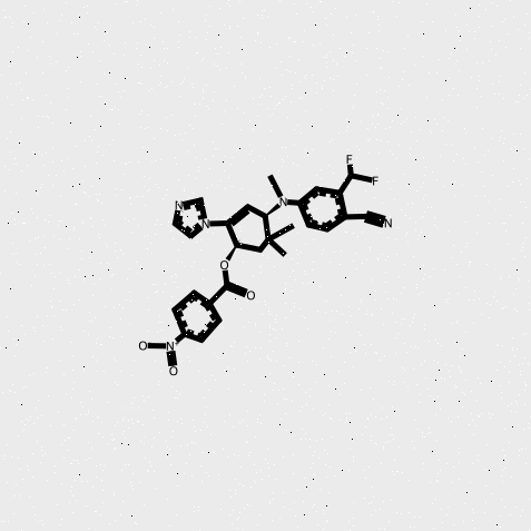 CN(c1ccc(C#N)c(C(F)F)c1)[C@@H]1C=C(n2ccnc2)[C@H](OC(=O)c2ccc([N+](=O)[O-])cc2)CC1(C)C